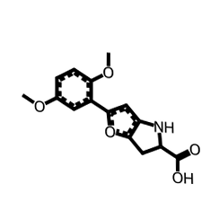 COc1ccc(OC)c(-c2cc3c(o2)CC(C(=O)O)N3)c1